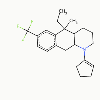 CCC1(C)c2cc(C(F)(F)F)ccc2CC2C1CCCN2C1=CCCC1